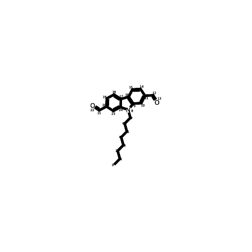 CCCCCCCCn1c2cc(C=O)ccc2c2ccc(C=O)cc21